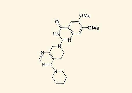 COc1cc2nc(N3CCc4c(ncnc4N4CCCCC4)C3)[nH]c(=O)c2cc1OC